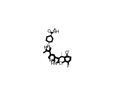 CNC(=O)[C@H]1CC[C@H](n2cc(-c3cnc4[nH]cc([C@H](C)c5c(OC)ccc(F)c5Cl)c4c3)c(C)n2)CC1